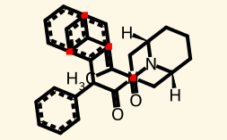 C/C(=C\c1ccccc1)C(=O)N1[C@@H]2CCC[C@H]1CN(C(=O)C(c1ccccc1)c1ccccc1)C2